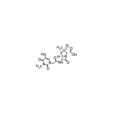 Cn1c(=O)c(O)cn(CC(=O)NC2C(=O)N3[C@@H]2SC(C)(C)[C@@H]3C(=O)O)c1=O